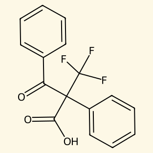 O=C(O)C(C(=O)c1ccccc1)(c1ccccc1)C(F)(F)F